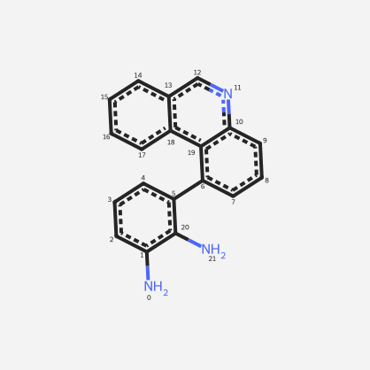 Nc1cccc(-c2cccc3ncc4ccccc4c23)c1N